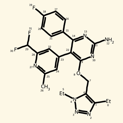 CCc1nnn(CC)c1COc1nc(N)nc(-c2ccc(F)cc2)c1-c1cc(C)nc(C(F)F)c1